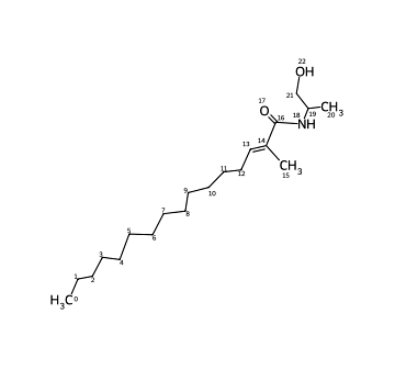 CCCCCCCCCCCCC/C=C(\C)C(=O)NC(C)CO